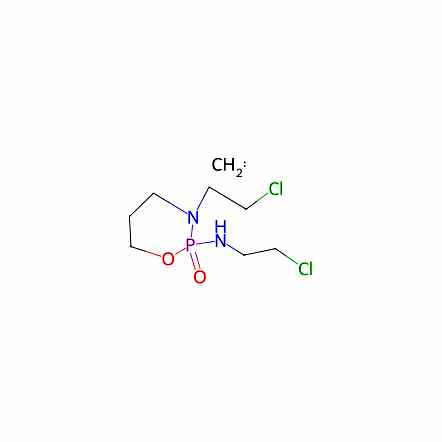 O=P1(NCCCl)OCCCN1CCCl.[CH2]